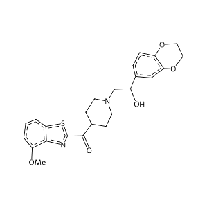 COc1cccc2sc(C(=O)C3CCN(CC(O)c4ccc5c(c4)OCCO5)CC3)nc12